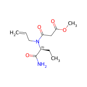 C=CCN(C(=O)CC(=O)OC)[C@@H](CC)C(N)=O